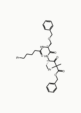 CC(C)CCCCC(=O)N[C@@H](COCc1ccccc1)C(=O)N[C@@H](CC(C)C)C(=O)C(C)(C)C(=O)OCc1ccccc1